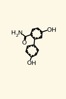 NC(=O)c1ccc(O)cc1-c1ccc(O)cc1